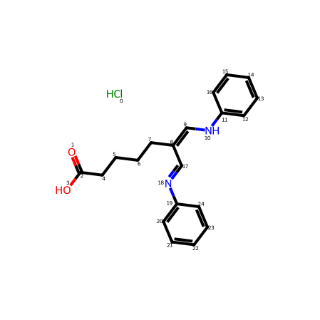 Cl.O=C(O)CCCCC(=CNc1ccccc1)/C=N/c1ccccc1